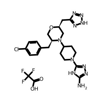 Nc1nnc(N2CCC(N3C[C@H](Cc4nn[nH]n4)OC[C@@H]3Cc3ccc(Cl)cc3)CC2)[nH]1.O=C(O)C(F)(F)F